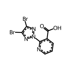 O=C(O)c1cccnc1-n1nc(Br)c(Br)n1